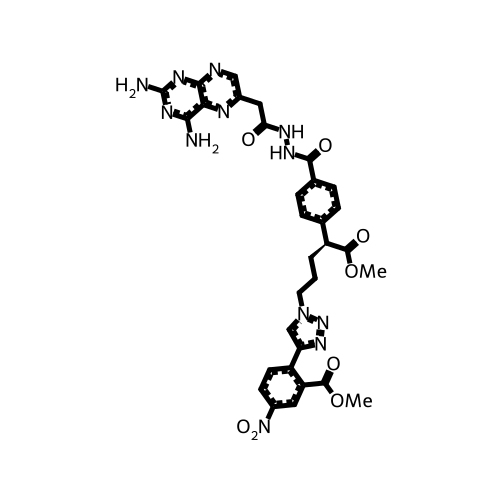 COC(=O)c1cc([N+](=O)[O-])ccc1-c1cn(CCC[C@H](C(=O)OC)c2ccc(C(=O)NNC(=O)Cc3cnc4nc(N)nc(N)c4n3)cc2)nn1